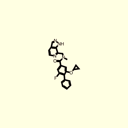 CN(Cc1nccc2cn[nH]c12)C(=O)c1cc(F)c(-c2ccccc2)c(OC2CC2)c1